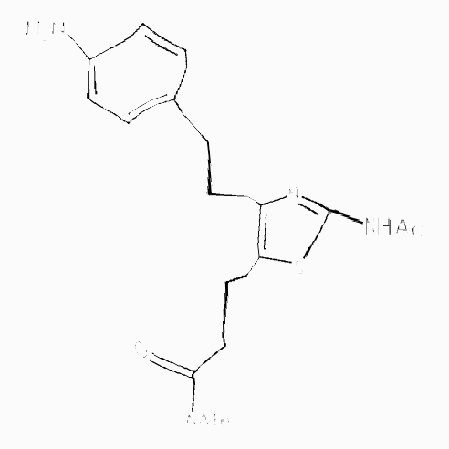 CNC(=O)CCc1sc(NC(C)=O)nc1CCc1ccc(N)cc1